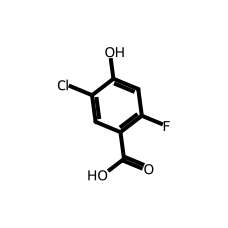 O=C(O)c1cc(Cl)c(O)cc1F